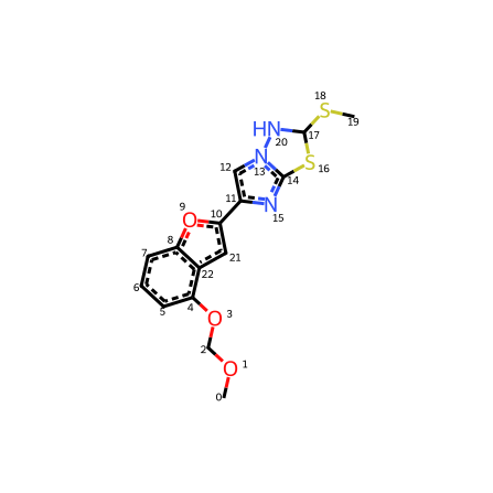 COCOc1cccc2oc(-c3cn4c(n3)SC(SC)N4)cc12